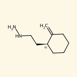 C=C1CCCC[C@H]1CCNN